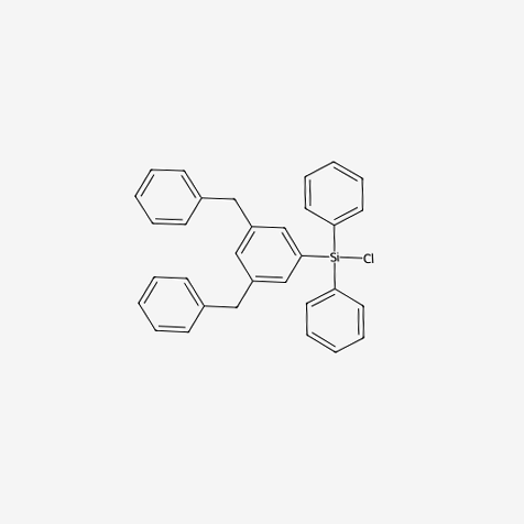 Cl[Si](c1ccccc1)(c1ccccc1)c1cc(Cc2ccccc2)cc(Cc2ccccc2)c1